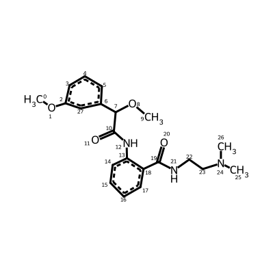 COc1cccc(C(OC)C(=O)Nc2ccccc2C(=O)NCCN(C)C)c1